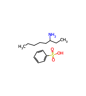 CCCCCC(N)CC.O=S(=O)(O)c1ccccc1